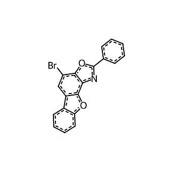 Brc1cc2c3ccccc3oc2c2nc(-c3ccccc3)oc12